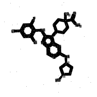 CC1(C(N)=O)CCC(n2c(Nc3c(F)cc(Cl)cc3Cl)nc3cnc(N[C@H]4CC[C@H](O)C4)nc32)CC1